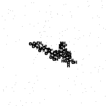 Cc1oc(=O)oc1COC(=O)N1CC[C@@H](N2CC/C(=C\C3=C(C(=O)O)NC([C@H](NC(=O)/C(=N\O)c4nsc(N)n4)C(=O)OCC(O)C(O)C(O)C(O)CO)SC3)C2=O)C1